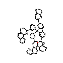 C1=CC(C2(c3cccc(-c4ccc5ccc6cccnc6c5n4)c3)c3cc(-c4ccc5ccccc5n4)ccc3-c3ccc(-c4ccc5ccccc5n4)cc32)=CC(c2ccc3ccc4cccnc4c3n2)C1